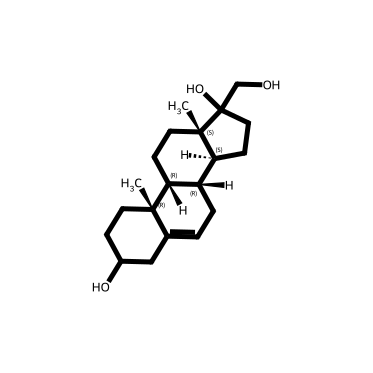 C[C@]12CCC(O)CC1=CC[C@@H]1[C@H]2CC[C@@]2(C)[C@H]1CCC2(O)CO